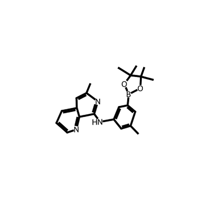 Cc1cc(Nc2nc(C)cc3cccnc23)cc(B2OC(C)(C)C(C)(C)O2)c1